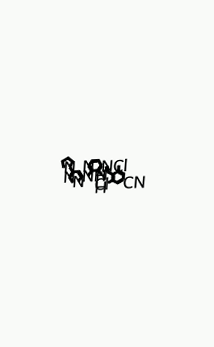 N#Cc1cc(Cl)c(-c2nc3ccnc(Nc4cc(N5CCCC5)ncn4)c3[nH]2)c(Cl)c1